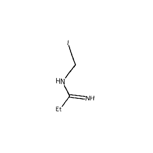 CCC(=N)NCI